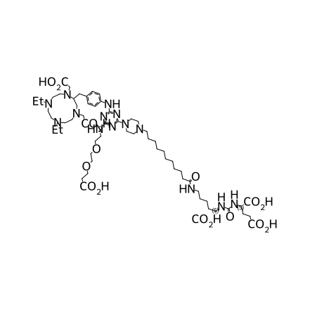 CCN1CCN(CC)CCN(CC(=O)O)C(Cc2ccc(Nc3nc(NCCOCCOCCC(=O)O)nc(N4CCN(CCCCCCCCCCC(=O)NCCCC[C@H](NC(=O)N[C@@H](CCC(=O)O)C(=O)O)C(=O)O)CC4)n3)cc2)CN(CC(=O)O)CC1